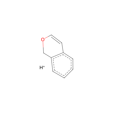 C1=Cc2ccccc2CO1.[H+]